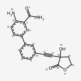 NC(=O)c1nc(-c2cccc(C#CC3(O)CCOC3=O)c2)ccc1N